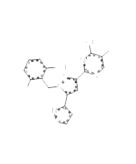 Oc1cccc(F)c1Cn1nc(-c2ncc(F)c(O)n2)cc1-c1ccon1